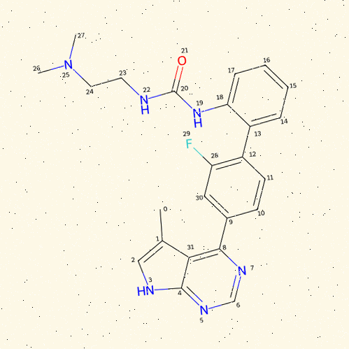 Cc1c[nH]c2ncnc(-c3ccc(-c4ccccc4NC(=O)NCCN(C)C)c(F)c3)c12